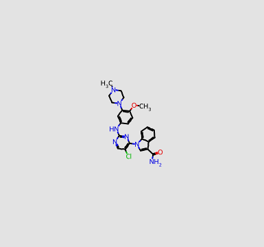 COc1ccc(Nc2ncc(Cl)c(-n3cc(C(N)=O)c4ccccc43)n2)cc1N1CCN(C)CC1